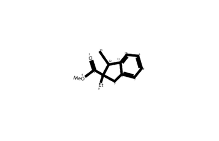 CCC1(C(=O)OC)Cc2ccccc2C1C